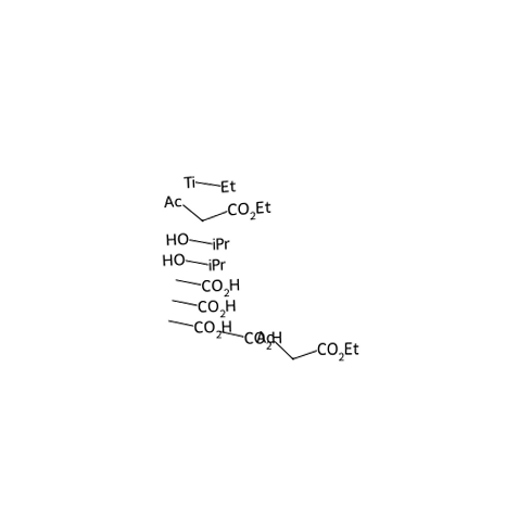 CC(=O)O.CC(=O)O.CC(=O)O.CC(=O)O.CC(C)O.CC(C)O.CCOC(=O)CC(C)=O.CCOC(=O)CC(C)=O.C[CH2][Ti]